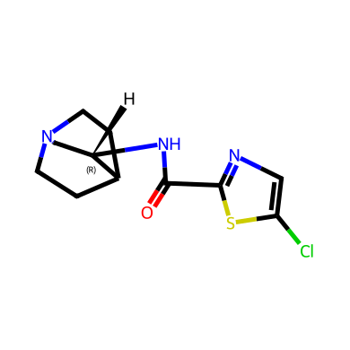 O=C(N[C@H]1CN2CCC1CC2)c1ncc(Cl)s1